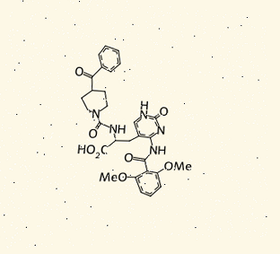 COc1cccc(OC)c1C(=O)Nc1nc(=O)[nH]cc1CC(NC(=O)N1CCC(C(=O)c2ccccc2)CC1)C(=O)O